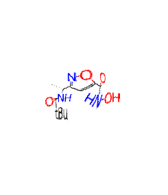 C[C@@H](NC(=O)C(C)(C)C)c1cc(C(=O)NO)on1